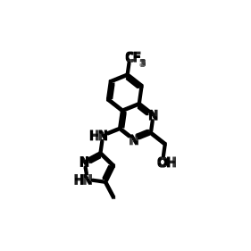 Cc1cc(Nc2nc(CO)nc3cc(C(F)(F)F)ccc23)n[nH]1